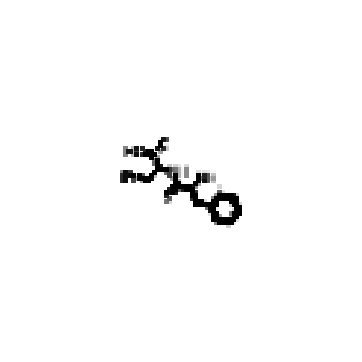 CC(C)C[C@H](NC(=S)[C@@H](N)Cc1ccccc1)B(O)O